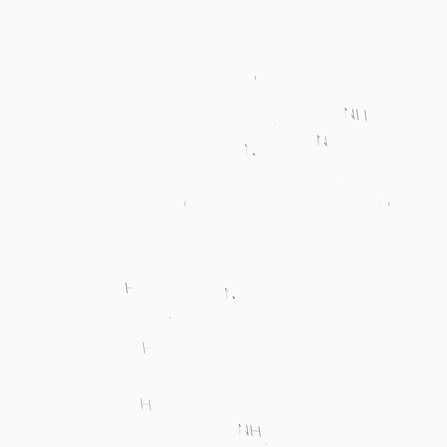 CC(N)C1CN(c2ccc3c(=O)n(N)c(=O)n(C4CC4)c3c2Cl)CC1(F)F